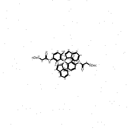 CCCCCCCCCCCC(=O)Oc1ccc(F)[c]([Ti]([c]2c(F)ccc(OC(=O)CCCCCCCCCCC)c2F)([CH]2C=Cc3ccccc32)[CH]2C=Cc3ccccc32)c1F